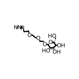 [N-]=[N+]=NCCOCCOCCOC1O[C@H](CO)[C@@H](O)[C@H](O)[C@@H]1O